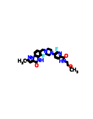 COCCNC(=O)c1ccc(N2CCN(Cc3ccc4c([nH]c(=O)c5cc(C)nn54)c3F)CC2)c(F)n1